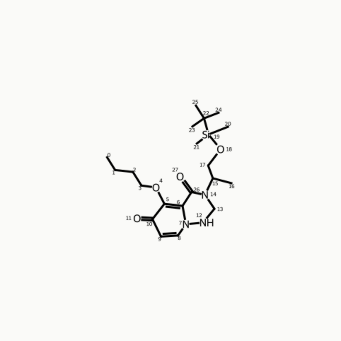 CCCCOc1c2n(ccc1=O)NCN(C(C)CO[Si](C)(C)C(C)(C)C)C2=O